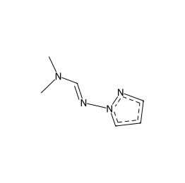 CN(C)/C=N/n1cccn1